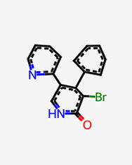 O=c1[nH]cc(-c2ccccn2)c(-c2ccccc2)c1Br